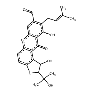 CC(C)=CCc1c(N=O)cc2oc3ccc4c(c3c(=O)c2c1O)C(O)C(C(C)(C)O)O4